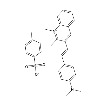 Cc1c(C=Cc2ccc(N(C)C)cc2)cc2ccccc2[n+]1C.Cc1ccc(S(=O)(=O)[O-])cc1